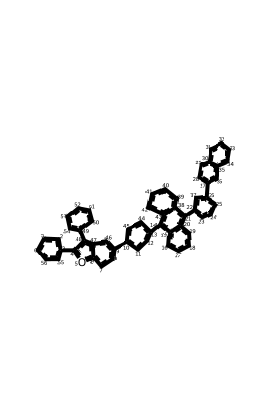 c1ccc(-c2oc3ccc(-c4ccc(-c5c6ccccc6c(-c6cccc(-c7ccc8ccccc8c7)c6)c6ccccc56)cc4)cc3c2-c2ccccc2)cc1